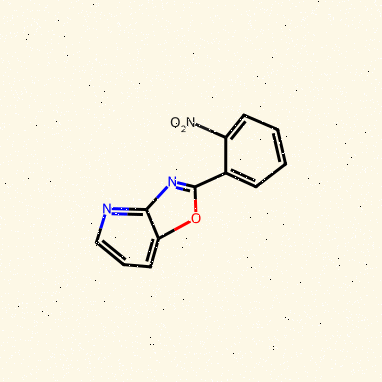 O=[N+]([O-])c1ccccc1-c1nc2ncccc2o1